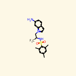 Cc1cc(C)c(S(=O)(=O)NC(Cn2ccc3ccc(N)cc32)C(F)(F)F)c(C)c1